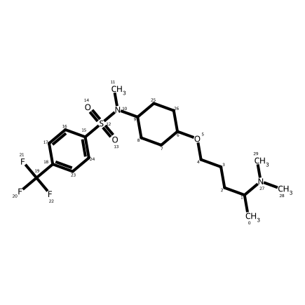 CC(CCCOC1CCC(N(C)S(=O)(=O)c2ccc(C(F)(F)F)cc2)CC1)N(C)C